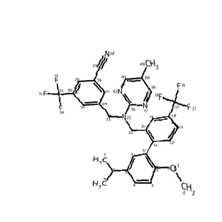 COc1ccc(C(C)C)cc1-c1ccc(C(F)(F)F)cc1CN(Cc1cc(C#N)cc(C(F)(F)F)c1)c1ncc(C)cn1